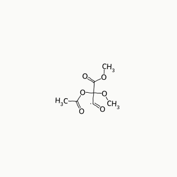 COC(=O)C([C]=O)(OC)OC(C)=O